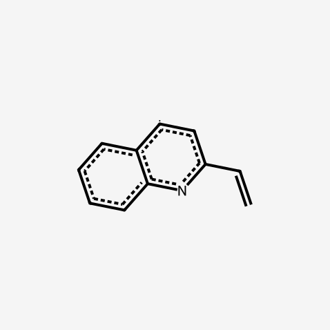 C=Cc1c[c]c2ccccc2n1